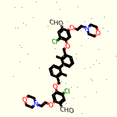 Cc1c(COc2cc(OCCN3CCOCC3)c(C=O)cc2Cl)cccc1-c1cccc(COc2cc(OCCN3CCOCC3)c(C=O)cc2Cl)c1C